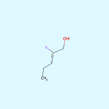 CCC=C(I)CO